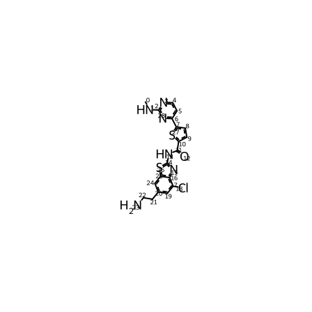 CNc1nccc(-c2ccc(C(=O)Nc3nc4c(Cl)cc(CCN)cc4s3)s2)n1